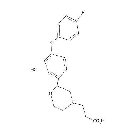 Cl.O=C(O)CCN1CCOC(c2ccc(Oc3ccc(F)cc3)cc2)C1